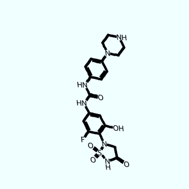 O=C1CN(c2c(O)cc(NC(=O)Nc3ccc(N4CCNCC4)cc3)cc2F)S(=O)(=O)N1